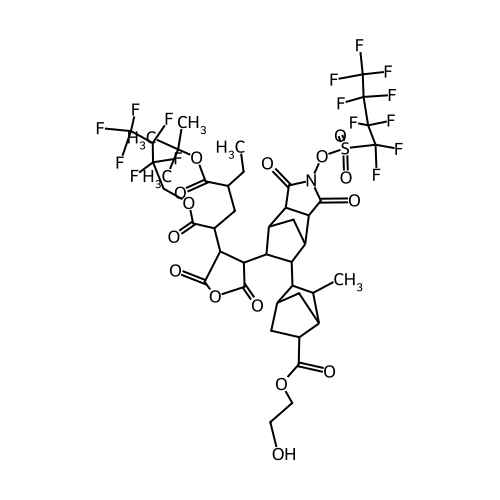 CCC(CC(C(=O)OCC(F)(F)C(F)C(F)(F)F)C1C(=O)OC(=O)C1C1C2CC(C3C(=O)N(OS(=O)(=O)C(F)(F)C(F)(F)C(F)(F)C(F)(F)F)C(=O)C23)C1C1C2CC(C(=O)OCCO)C(C2)C1C)C(=O)OC(C)(C)C